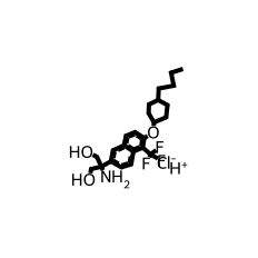 CCCCC1CCC(Oc2ccc3cc(C(N)(CO)CO)ccc3c2C(F)(F)F)CC1.[Cl-].[H+]